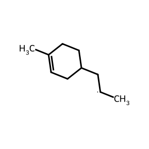 C[CH]CC1CC=C(C)CC1